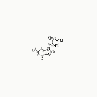 Cc1cc(Br)cc2c1nc(C)n2Cc1ncc(Cl)cc1Cl